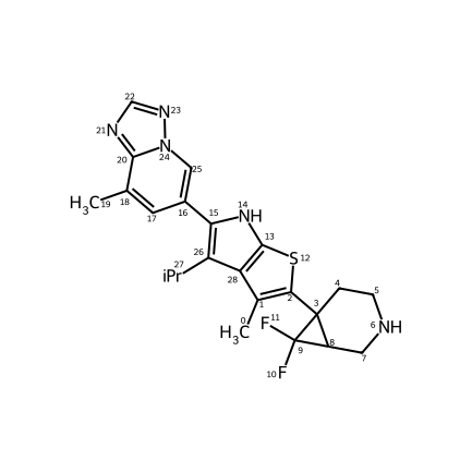 Cc1c(C23CCNCC2C3(F)F)sc2[nH]c(-c3cc(C)c4ncnn4c3)c(C(C)C)c12